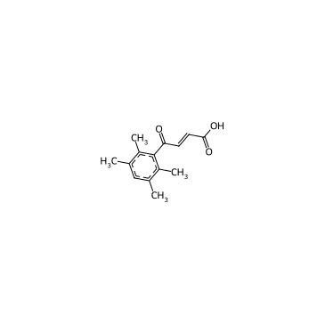 Cc1cc(C)c(C)c(C(=O)C=CC(=O)O)c1C